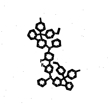 C=Cc1ccc(C2(c3ccc(C)cc3)c3ccccc3-c3ccc(N(c4ccccc4)c4ccc(-c5ccc(N(c6ccccc6)c6ccc7c(c6)C(c6ccc(C)cc6)(c6ccc(C=C)cc6)c6ccccc6-7)cc5F)c(F)c4)cc32)cc1